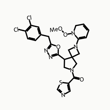 COON1CC=CC=C1N1CC2(CN(C(=O)c3cncs3)CC2c2nnc(Cc3ccc(Cl)c(Cl)c3)o2)C1